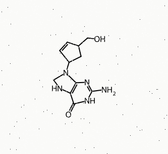 Nc1nc2c(c(=O)[nH]1)NCN2C1C=CC(CO)C1